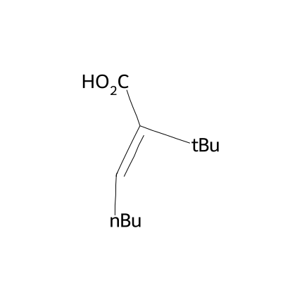 CCCC/C=C(/C(=O)O)C(C)(C)C